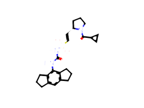 O=C(Nc1c2c(cc3c1CCC3)CCC2)NS(=O)(=O)/C=C/[C@H]1CCCN1C(=O)C1CC1